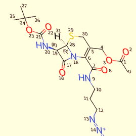 CC(=O)OCC1=C(C(=O)NCCCN=[N+]=[N-])N2C(=O)[C@@H](NC(=O)OC(C)(C)C)[C@H]2SC1